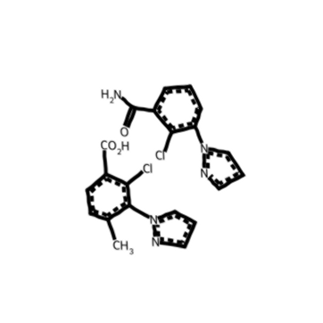 Cc1ccc(C(=O)O)c(Cl)c1-n1cccn1.NC(=O)c1cccc(-n2cccn2)c1Cl